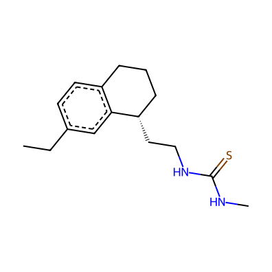 CCc1ccc2c(c1)[C@@H](CCNC(=S)NC)CCC2